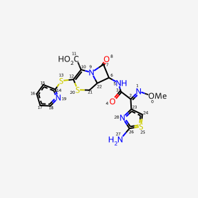 CON=C(C(=O)NC1C(=O)N2C(C(=O)O)=C(Sc3ccccn3)SCC12)c1csc(N)n1